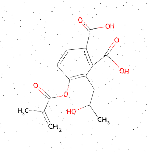 C=C(C)C(=O)Oc1ccc(C(=O)O)c(C(=O)O)c1CC(C)O